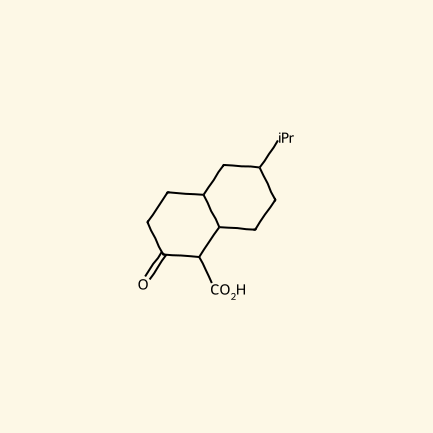 CC(C)C1CCC2C(CCC(=O)C2C(=O)O)C1